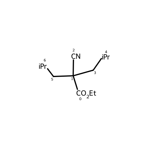 CCOC(=O)C(C#N)(CC(C)C)CC(C)C